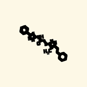 Cn1c(CCC2CCCCC2)nnc1SCC(=O)Nc1nnc(-c2ccccc2)s1